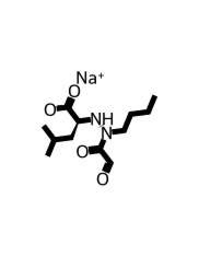 CCCCN(N[C@@H](CC(C)C)C(=O)[O-])C(=O)C=O.[Na+]